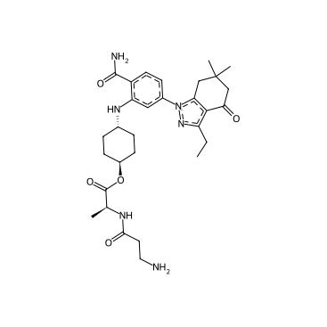 CCc1nn(-c2ccc(C(N)=O)c(N[C@H]3CC[C@H](OC(=O)[C@H](C)NC(=O)CCN)CC3)c2)c2c1C(=O)CC(C)(C)C2